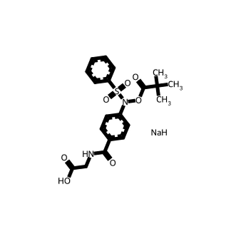 CC(C)(C)C(=O)ON(c1ccc(C(=O)NCC(=O)O)cc1)S(=O)(=O)c1ccccc1.[NaH]